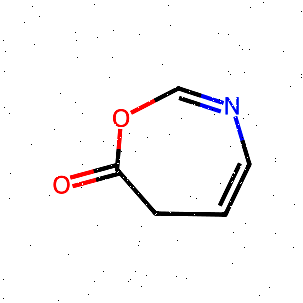 O=C1CC=CN=CO1